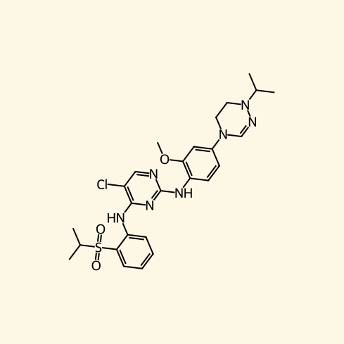 COc1cc(N2C=NN(C(C)C)CC2)ccc1Nc1ncc(Cl)c(Nc2ccccc2S(=O)(=O)C(C)C)n1